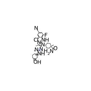 C=N/C(=N\c1c(C)nc(Nc2c(F)cc(C#N)cc2Cl)n1[C@H]1CC[C@@](C)(C(N)=O)CC1)N[C@@H]1CCC[C@H](O)C1